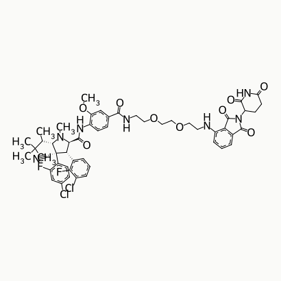 COc1cc(C(=O)NCCOCCOCCNc2cccc3c2C(=O)N(C2CCC(=O)NC2=O)C3=O)ccc1NC(=O)[C@H]1[C@H](c2cccc(Cl)c2F)[C@@](C#N)(c2ccc(Cl)cc2F)[C@H](C(C)C(C)(C)C)N1C